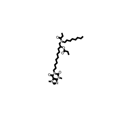 CCCCCCCCN(CC(CCCCCCCCCn1c(=O)c2c(ncn2C)n(C)c1=O)OC(=O)CC)C(=O)CC